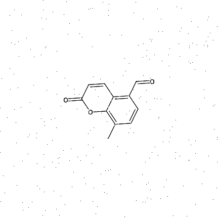 Cc1ccc(C=O)c2ccc(=O)oc12